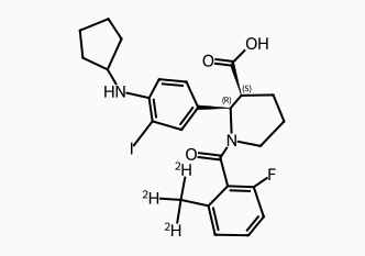 [2H]C([2H])([2H])c1cccc(F)c1C(=O)N1CCC[C@H](C(=O)O)[C@@H]1c1ccc(NC2CCCC2)c(I)c1